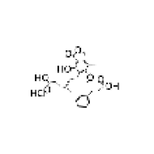 COc1c(C)c2c(c(O)c1C/C=C(\C)CCC(=O)O)C(=O)OC2.Cl.O=C(O)CCc1ccccc1